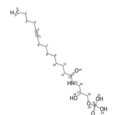 CCCCC#CCCCCCCCC(=O)NCC(O)COP(=O)(O)O